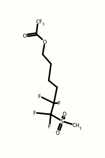 CS(=O)(=O)C(F)(F)C(F)(F)CCCCOC(=O)C(F)(F)F